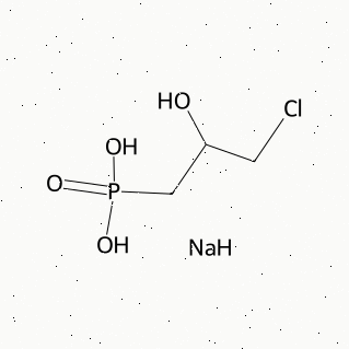 O=P(O)(O)CC(O)CCl.[NaH]